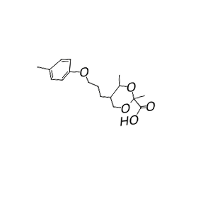 Cc1ccc(OCCCC2COC(C)(C(=O)O)OC2C)cc1